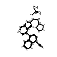 N#Cc1ccc(-c2cncc3sc([C@H](CC(=O)O)CC4CCCC4)cc23)c2ccccc12